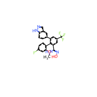 COc1cc(F)ccc1-c1c(/C(N)=N/O)cc(C(F)(F)F)cc1-c1ccc2[nH]ncc2c1